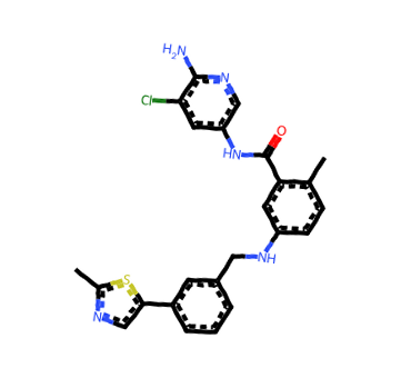 Cc1ncc(-c2cccc(CNc3ccc(C)c(C(=O)Nc4cnc(N)c(Cl)c4)c3)c2)s1